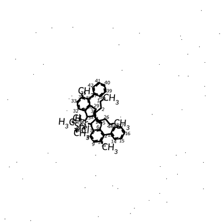 CCCCC1=Cc2c(ccc(C)c2-c2ccccc2)[CH]1[Zr]([Cl])([Cl])([CH]1C(CCCC)=Cc2c1ccc(C)c2-c1ccccc1)[SiH](C)C